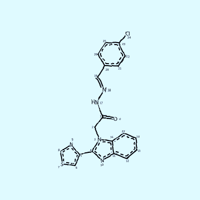 O=C(Cn1c(-c2cscn2)nc2ccccc21)NN=Cc1ccc(Cl)cc1